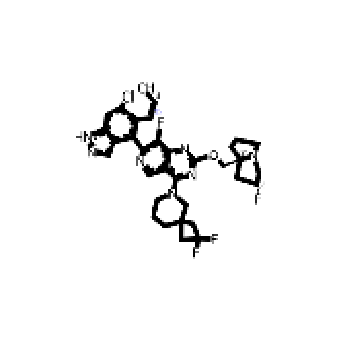 C/C=C\c1c(Cl)cc2[nH]ncc2c1-c1ncc2c(N3CCCC4(C3)CC(F)(F)C4)nc(OC[C@@]34CCCN3C[C@H](F)C4)nc2c1F